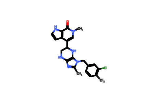 Cc1nc2c(n1Cc1ccc(C(F)(F)F)c(Cl)c1)NC(c1cn(C)c(=O)c3[nH]ccc13)CN2